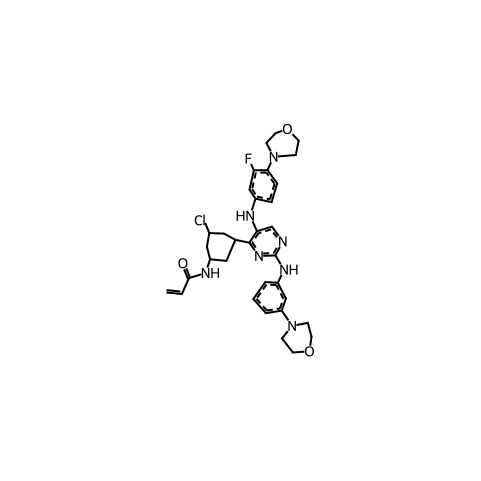 C=CC(=O)NC1CC(Cl)CC(c2nc(Nc3cccc(N4CCOCC4)c3)ncc2Nc2ccc(N3CCOCC3)c(F)c2)C1